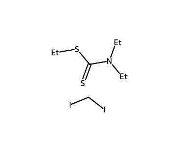 CCSC(=S)N(CC)CC.ICI